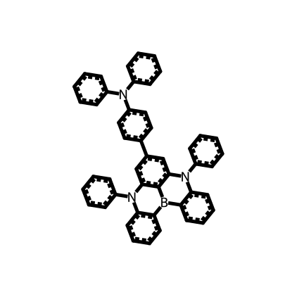 c1ccc(N(c2ccccc2)c2ccc(-c3cc4c5c(c3)N(c3ccccc3)c3ccccc3B5c3ccccc3N4c3ccccc3)cc2)cc1